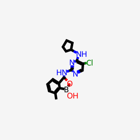 Cc1cccc2c1B(O)OC2Nc1ncc(Cl)c(NC2CCCC2)n1